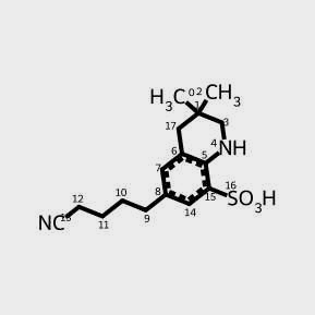 CC1(C)CNc2c(cc(CCCCC#N)cc2S(=O)(=O)O)C1